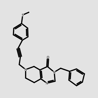 CSc1ccc(C#CCN2CCc3ncn(Cc4ccccc4)c(=O)c3C2)cc1